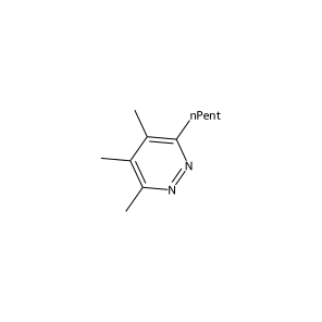 CCCCCc1nnc(C)c(C)c1C